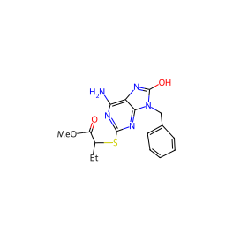 CCC(Sc1nc(N)c2nc(O)n(Cc3ccccc3)c2n1)C(=O)OC